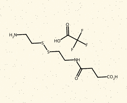 NCCSSCCNC(=O)CCC(=O)O.O=C(O)C(F)(F)F